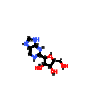 OC[C@H]1OC(c2ncc3nc[nH]c3n2)[C@H](O)[C@@H]1O